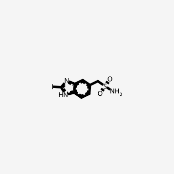 NS(=O)(=O)Cc1ccc2[nH]c(I)nc2c1